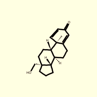 C[C@]12C=CC(=O)C=C1CC[C@H]1[C@@H]3CCC[C@@]3(CO)CC[C@@H]12